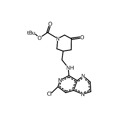 CC(C)(C)OC(=O)N1CC(=O)CC(CNc2nc(Cl)cc3nccnc23)C1